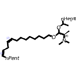 CCCCC/C=C\C/C=C\CCCCCCCCOC(OC(C)CCCCCCC)[C@@H](C)N(C)C